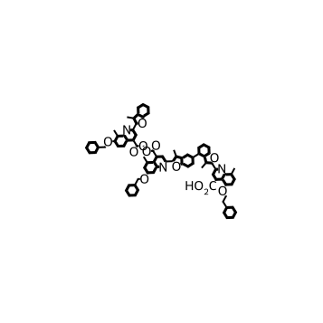 Cc1c(-c2cc(C(=O)OOC(=O)c3cc(-c4oc5ccccc5c4C)nc4c(C)c(OCc5ccccc5)ccc34)c3c(C)cc(OCc4ccccc4)cc3n2)oc2ccc(-c3cccc4oc(-c5cc(C(=O)O)c6c(OCCc7ccccc7)ccc(C)c6n5)c(C)c34)cc12